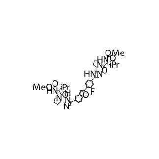 COC(=O)N[C@H](C(=O)N1CCC[C@H]1c1ncc(-c2ccc(-c3cc4cc(-c5cnc([C@@H]6CCCN6C(=O)[C@@H](NC(=O)OC)C(C)C)[nH]5)ccc4o3)c(F)c2)[nH]1)C(C)C